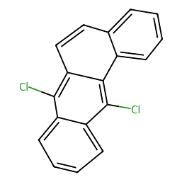 Clc1c2ccccc2c(Cl)c2c1ccc1ccccc12